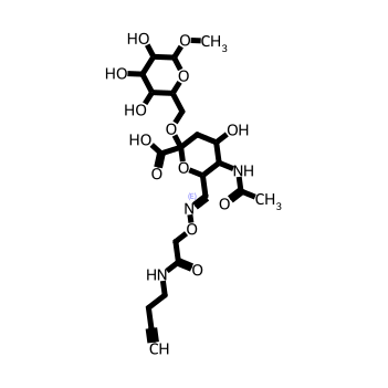 C#CCCNC(=O)CO/N=C/C1OC(OCC2OC(OC)C(O)C(O)C2O)(C(=O)O)CC(O)C1NC(C)=O